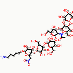 CC(=O)NC1[C@H](O[C@@H]2C(O)[C@@H](O[C@H]3C(CO)O[C@@H](O[C@@H]4C(C[N+](=O)[O-])O[C@@H](OCCCCCN)C(O)[C@H]4O)C(O)[C@H]3O)OC(CO)[C@@H]2O)OC(CO)[C@H](O)[C@@H]1O[C@@H]1OC(CO)[C@H](O)[C@H](O)C1O[C@@H]1OC(C)[C@@H](O)[C@H](O)C1O